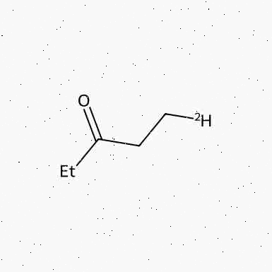 [2H]CCC(=O)CC